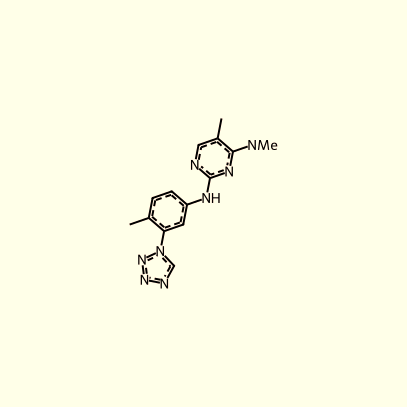 CNc1nc(Nc2ccc(C)c(-n3cnnn3)c2)ncc1C